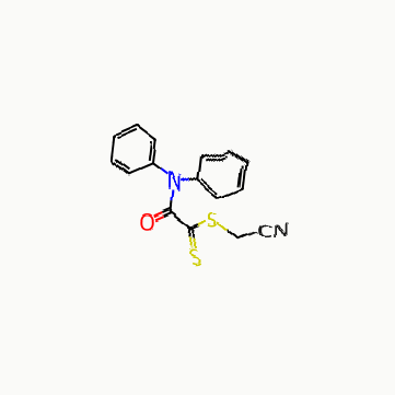 N#CCSC(=S)C(=O)N(c1ccccc1)c1ccccc1